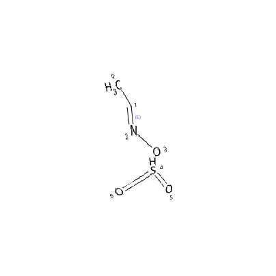 C/C=N/O[SH](=O)=O